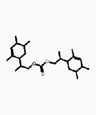 CC1=CC(C)C(C)CC1C(C)COC(=O)OCC(C)C1CC(C)C(C)C=C1C